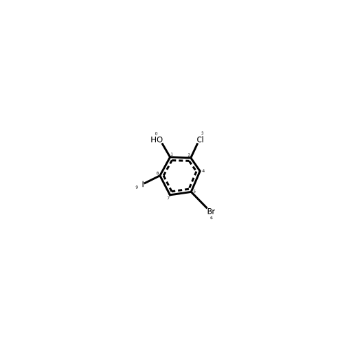 Oc1c(Cl)cc(Br)cc1I